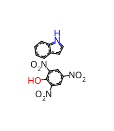 O=[N+]([O-])c1cc([N+](=O)[O-])c(O)c([N+](=O)[O-])c1.c1ccc2[nH]ccc2c1